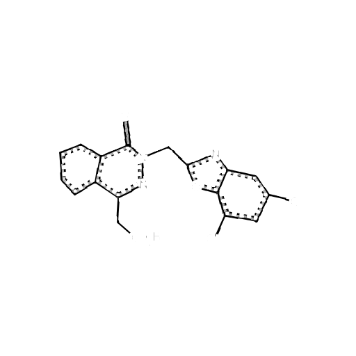 O=C(O)Cc1nn(Cc2nc3cc(Cl)cc(Cl)c3o2)c(=O)c2ccccc12